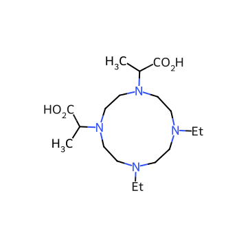 CCN1CCN(CC)CCN(C(C)C(=O)O)CCN(C(C)C(=O)O)CC1